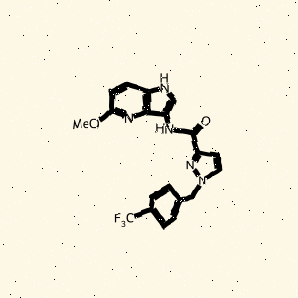 COc1ccc2[nH]cc(NC(=O)c3ccn(Cc4ccc(C(F)(F)F)cc4)n3)c2n1